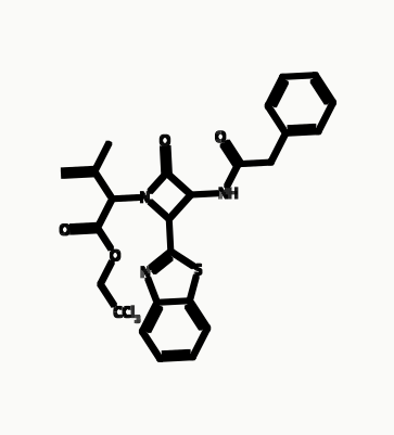 C=C(C)C(C(=O)OCC(Cl)(Cl)Cl)N1C(=O)C(NC(=O)Cc2ccccc2)C1c1nc2ccccc2s1